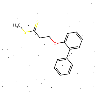 CSC(=S)CCOc1ccccc1-c1ccccc1